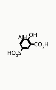 O=C(O)c1cc(S(=O)(=O)O)ccc1O.[AlH3]